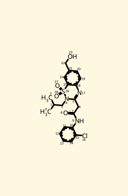 CC(C)CN1C(CC(=O)Nc2ccccc2Cl)=Nc2ccc(CO)cc2S1(=O)=O